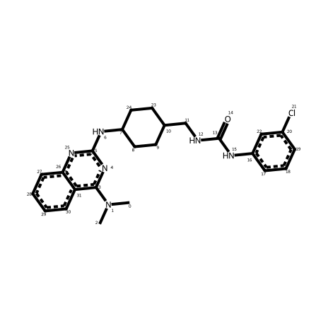 CN(C)c1nc(NC2CCC(CNC(=O)Nc3cccc(Cl)c3)CC2)nc2ccccc12